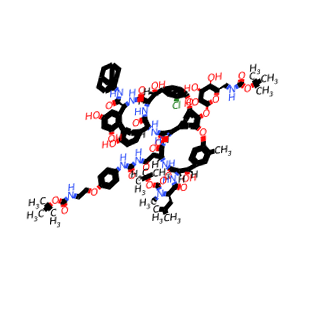 Cc1cc2ccc1Oc1cc3cc(c1O[C@@H]1O[C@H](CNC(=O)OC(C)(C)C)[C@@H](O)[C@H](O)[C@H]1O)Oc1ccc(cc1Cl)[C@@H](O)[C@@H]1NC(=O)[C@H](NC(=O)[C@@H]3NC(=O)[C@H](CC(=O)NC(=O)Nc3ccc(OCCNC(=O)OC(C)(C)C)cc3)NC(=O)[C@H](NC(=O)[C@@H](CC(C)C)N(C)C(=O)OC(C)(C)C)[C@@H]2O)c2ccc(O)c(c2)-c2c(O)cc(O)cc2[C@@H](C(=O)NC2C3CC4CC(C3)CC2C4)NC1=O